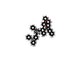 c1ccc(-c2ccc(-c3cc(-c4nc(-c5ccccc5)nc(-c5ccc6c7ccccc7n(-c7ccccc7)c6c5)n4)c4ccccc4c3-n3c4cc5ccccc5cc4c4cc5ccccc5cc43)cc2)cc1